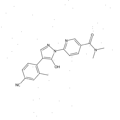 Cc1cc(C#N)ccc1-c1cnn(-c2ccc(C(=O)N(C)C)cn2)c1O